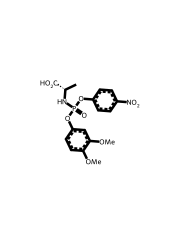 COc1ccc(OP(=O)(N[C@@H](C)C(=O)O)Oc2ccc([N+](=O)[O-])cc2)cc1OC